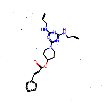 C=CCNc1nc(NCC=C)nc(N2CCC(OC(=O)C=Cc3ccccc3)CC2)n1